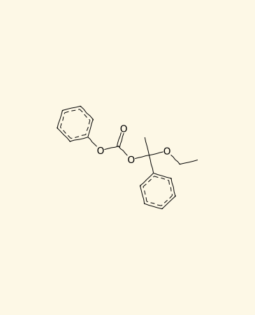 CCOC(C)(OC(=O)Oc1ccccc1)c1ccccc1